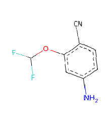 N#Cc1ccc(N)cc1OC(F)F